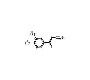 CCOC(=O)C=C(C)c1ccc(O)c(O)c1